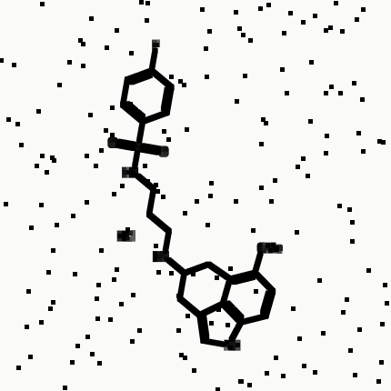 COc1ccc2[nH]cc3c2c1CC(NCCCNS(=O)(=O)c1ccc(F)cc1)C3.Cl